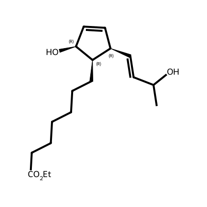 CCOC(=O)CCCCCC[C@@H]1[C@H](C=CC(C)O)C=C[C@@H]1O